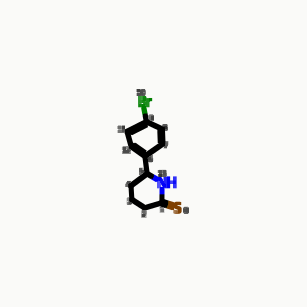 S=C1CCCC(c2ccc(Br)cc2)N1